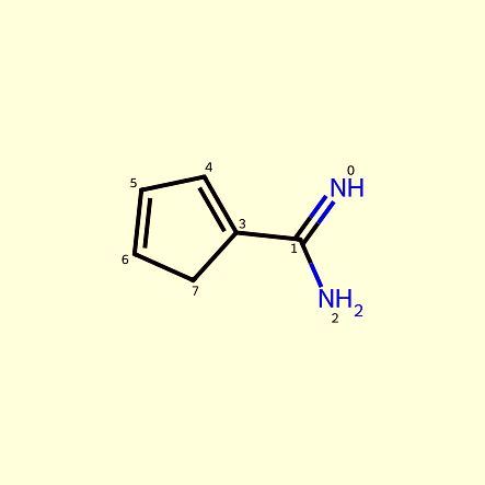 N=C(N)C1=CC=CC1